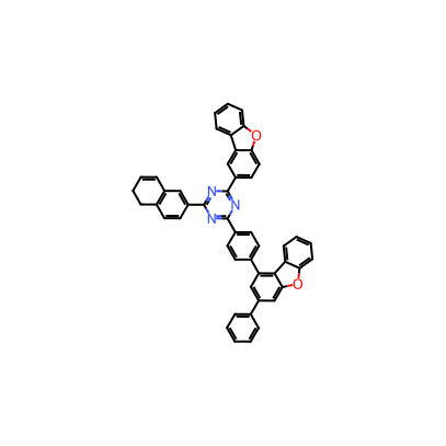 C1=Cc2cc(-c3nc(-c4ccc(-c5cc(-c6ccccc6)cc6oc7ccccc7c56)cc4)nc(-c4ccc5oc6ccccc6c5c4)n3)ccc2CC1